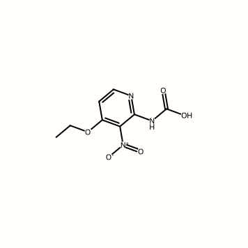 CCOc1ccnc(NC(=O)O)c1[N+](=O)[O-]